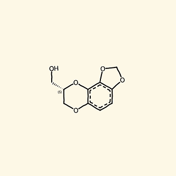 OC[C@H]1COc2ccc3c(c2O1)OCO3